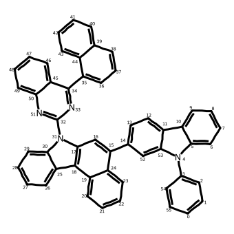 c1ccc(-n2c3ccccc3c3ccc(-c4cc5c(c6ccccc46)c4ccccc4n5-c4nc(-c5cccc6ccccc56)c5ccccc5n4)cc32)cc1